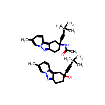 CC(=O)NC1(C#C[Si](C)(C)C)CCc2nn3cc(C)ccc3c2C1.Cc1ccc2c3c(nn2c1)CCC(O)(C#C[Si](C)(C)C)C3